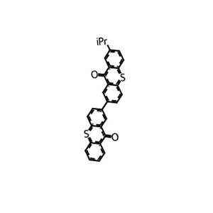 CC(C)c1ccc2sc3ccc(-c4ccc5sc6ccccc6c(=O)c5c4)cc3c(=O)c2c1